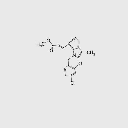 COC(=O)C=Cc1cccc2c(C)cn(Cc3ccc(Cl)cc3Cl)c12